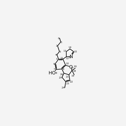 CCCCCc1cc(O)c2c(c1C1CCC=N1)OC(C)(C)C1C=C(C)CC21